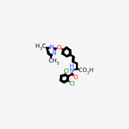 Cc1cc(C)nc(Oc2ccc(C=CCC(NC(=O)c3c(Cl)cccc3Cl)C(=O)O)cc2)n1